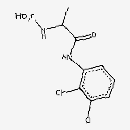 CC(NC(=O)O)C(=O)Nc1cccc(Cl)c1Cl